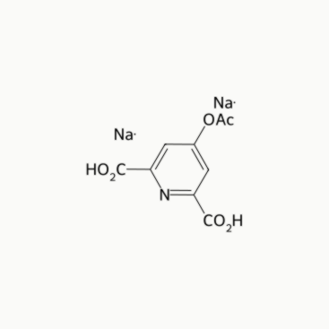 CC(=O)Oc1cc(C(=O)O)nc(C(=O)O)c1.[Na].[Na]